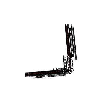 N.N.N.N.N.N.N.N.N.N.N.N.N.N.N.N.N.N.N.N.N.N.N.N.N.N.N.N.N.N.N.N.N.N.N.N.N.N.N.N.N.N.N.N.N.N.N.N.N.N.N.N.N.N.N.N.N.N.N.N.N.N.N.N.N.N.N.N.N.N.N.N.N.N.N.O=C(O)O.O=C(O)O.O=C(O)O.O=C(O)O.O=C(O)O.O=C(O)O.O=C(O)O.O=C(O)O.O=C(O)O